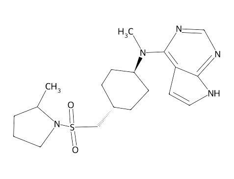 CC1CCCN1S(=O)(=O)C[C@H]1CC[C@H](N(C)c2ncnc3[nH]ccc23)CC1